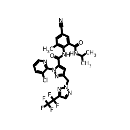 Cc1cc(C#N)cc(C(=O)NC(C)C)c1NC(=O)c1cc(Cn2ncc(C(F)(F)C(F)(F)F)n2)nn1-c1ncccc1Cl